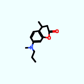 CCCN(C)c1ccc2c(c1)OC(=O)CC2C